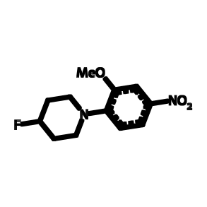 COc1cc([N+](=O)[O-])ccc1N1CCC(F)CC1